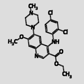 CCOC(=O)c1cnc2cc(OC)c(N3CCN(C)CC3)cc2c1Nc1ccc(Cl)cc1Cl